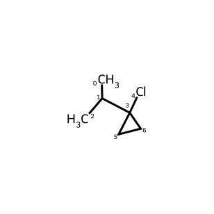 CC(C)C1(Cl)CC1